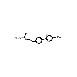 CCCCCCCCCCc1cnc(-c2ccc(CCC[C@@H](F)CCCCCC)cc2)nc1